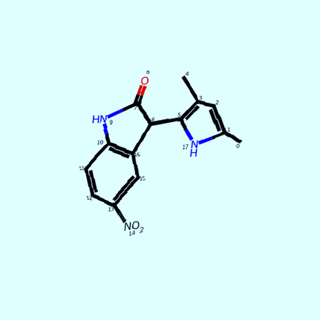 Cc1cc(C)c(C2C(=O)Nc3ccc([N+](=O)[O-])cc32)[nH]1